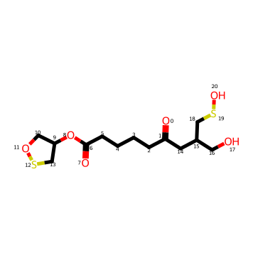 O=C(CCCCC(=O)OC1COSC1)CC(CO)CSO